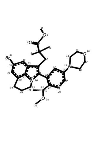 COC(=O)C(C)(C)Cc1c(-c2cc(N3CCOCC3)cnc2[C@H](C)OC)n2c3c(cc(Br)cc13)CCC2